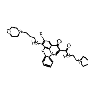 O=C(NCCN1CCCC1)c1cn2c3c(c(NCCCN4CCOCC4)c(F)cc3c1=O)Sc1ccccc1-2